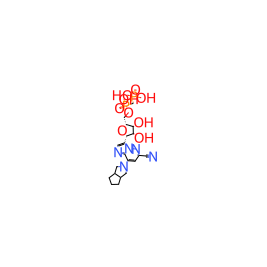 N#Cc1cc(N2CC3CCCC3C2)c2ncc([C@@H]3O[C@H](COP(=O)(O)CP(=O)(O)O)[C@@H](O)[C@H]3O)n2n1